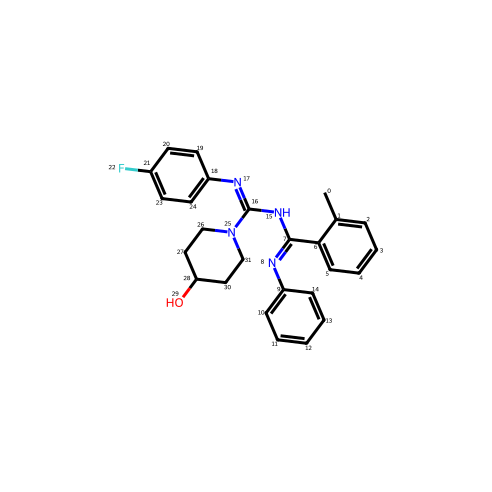 Cc1ccccc1/C(=N\c1ccccc1)N/C(=N/c1ccc(F)cc1)N1CCC(O)CC1